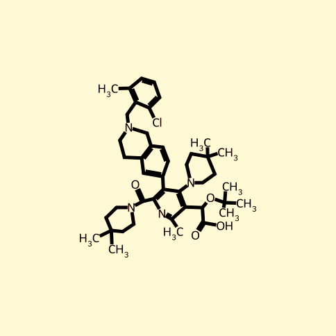 Cc1cccc(Cl)c1CN1CCc2cc(-c3c(C(=O)N4CCC(C)(C)CC4)nc(C)c(C(OC(C)(C)C)C(=O)O)c3N3CCC(C)(C)CC3)ccc2C1